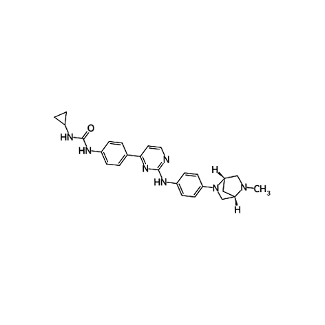 CN1C[C@@H]2C[C@H]1CN2c1ccc(Nc2nccc(-c3ccc(NC(=O)NC4CC4)cc3)n2)cc1